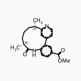 COC(=O)c1ccc2c(c1)-c1ccnc(c1)[C@@H](C)CCC[C@@H](C)C(=O)N2